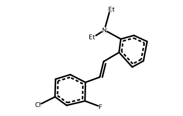 CCN(CC)c1ccccc1C=Cc1ccc(Cl)cc1F